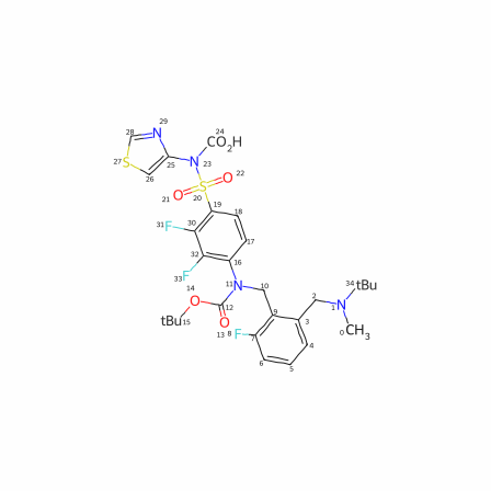 CN(Cc1cccc(F)c1CN(C(=O)OC(C)(C)C)c1ccc(S(=O)(=O)N(C(=O)O)c2cscn2)c(F)c1F)C(C)(C)C